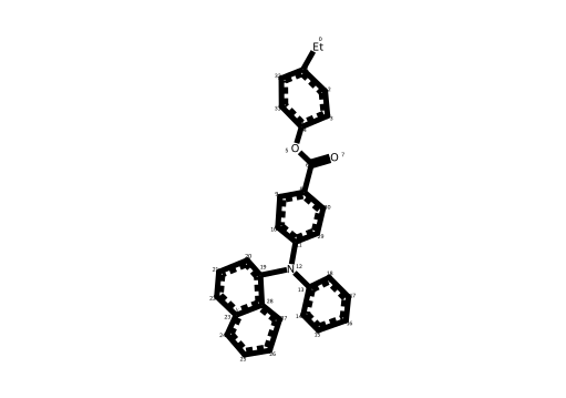 CCc1ccc(OC(=O)c2ccc(N(c3ccccc3)c3cccc4ccccc34)cc2)cc1